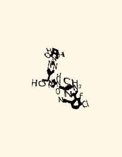 Cc1ncc(-c2c(C#N)ccc(Cl)c2F)nc1C(=O)Nc1cnn(C(CO)c2cnc(N3C[C@H]4CC[C@H]4C3=O)nc2)c1